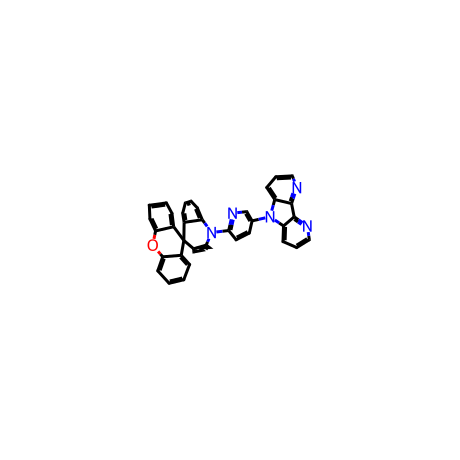 c1ccc2c(c1)Oc1ccccc1C21c2ccccc2N(c2ccc(-n3c4cccnc4c4ncccc43)cn2)c2ccccc21